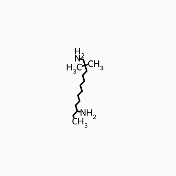 CCC(N)CCCCCCCCC(C)(C)CN